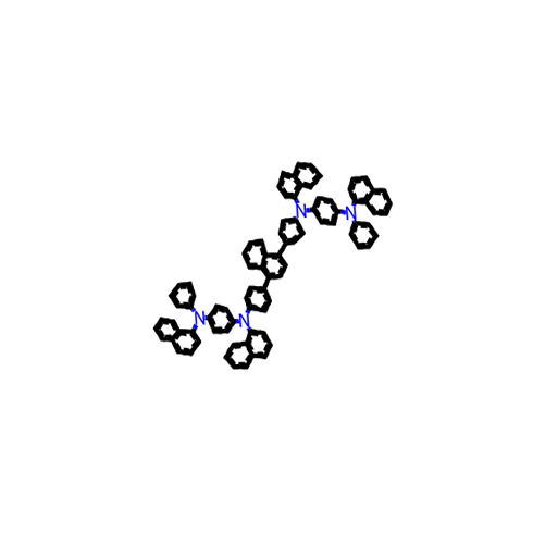 c1ccc(N(c2ccc(N(c3ccc(-c4ccc(-c5ccc(N(c6ccc(N(c7ccccc7)c7cccc8ccccc78)cc6)c6cccc7ccccc67)cc5)c5ccccc45)cc3)c3cccc4ccccc34)cc2)c2cccc3ccccc23)cc1